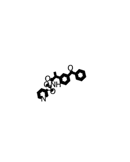 CC(C(=O)NS(=O)(=O)c1cccnc1)c1cccc(C(=O)c2ccccc2)c1